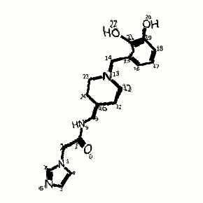 O=C(Cn1ccnc1)NCC1CCN(Cc2cccc(O)c2O)CC1